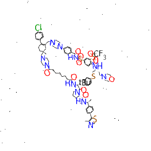 Cc1ncsc1-c1ccc([C@H](C)NC(=O)[C@@H]2CCCN2C(=O)C(NC(=O)CCCCCCC(=O)N2CCN(C[C@]3(C)CCC(c4ccc(Cl)cc4)=C(CN4CCN(c5ccc(C(=O)NS(=O)(=O)c6ccc(N[C@H](CCN7CCOCC7)CSc7ccccc7)c(S(=O)(=O)C(F)(F)F)c6)cc5)CC4)C3)CC2)C(C)(C)C)cc1